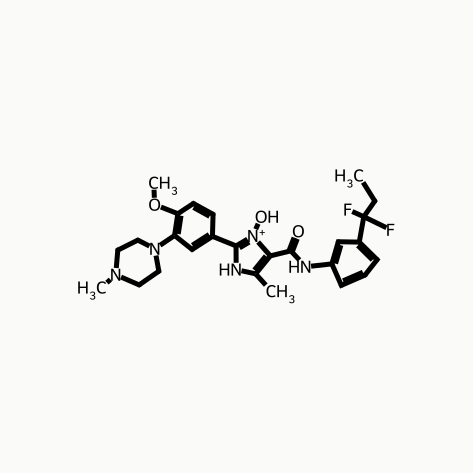 CCC(F)(F)c1cccc(NC(=O)c2c(C)[nH]c(-c3ccc(OC)c(N4CCN(C)CC4)c3)[n+]2O)c1